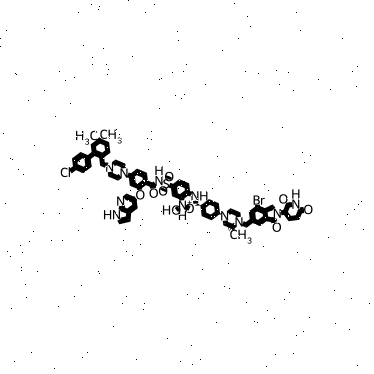 C[C@@H]1CN([C@H]2CC[C@@H](CNc3ccc(S(=O)(=O)NC(=O)c4ccc(N5CCN(CC6=C(c7ccc(Cl)cc7)CC(C)(C)CC6)CC5)cc4Oc4cnc5[nH]ccc5c4)cc3[NH+]([O-])O)CC2)CCN1Cc1cc(Br)c2c(c1)C(=O)N(C1CCC(=O)NC1=O)C2